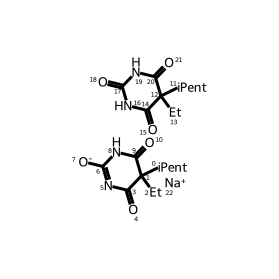 CCCC(C)C1(CC)C(=O)N=C([O-])NC1=O.CCCC(C)C1(CC)C(=O)NC(=O)NC1=O.[Na+]